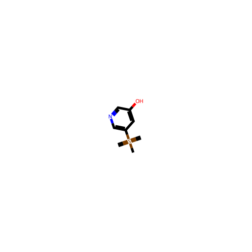 C=S(=C)(C)c1cncc(O)c1